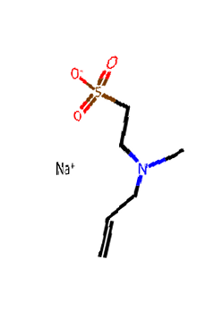 C=CCN(C)CCS(=O)(=O)[O-].[Na+]